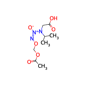 CC(=O)OCO/N=[N+](/[O-])N(CC(=O)O)C(C)C